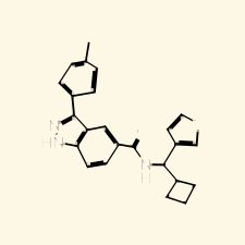 Cc1ccc(-c2n[nH]c3ccc(C(=O)NC(c4ccsc4)C4CCC4)cc23)cc1